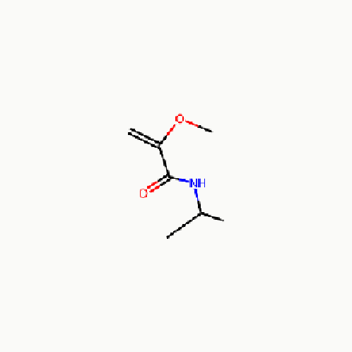 C=C(OC)C(=O)NC(C)C